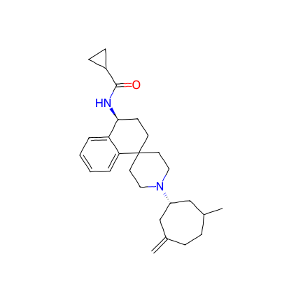 C=C1CCC(C)C[C@@H](N2CCC3(CC[C@H](NC(=O)C4CC4)c4ccccc43)CC2)C1